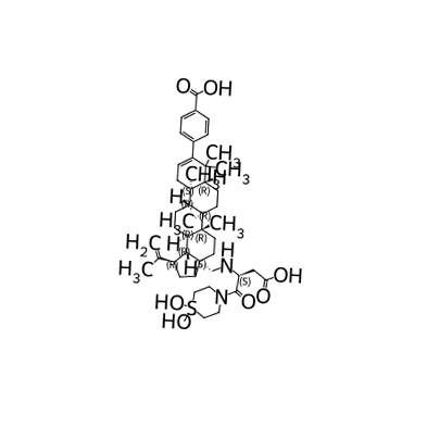 C=C(C)[C@@H]1CC[C@]2(CN[C@@H](CC(=O)O)C(=O)N3CCS(O)(O)CC3)CC[C@]3(C)[C@H](CC[C@@H]4[C@@]5(C)CC=C(c6ccc(C(=O)O)cc6)C(C)(C)[C@@H]5CC[C@]43C)[C@@H]12